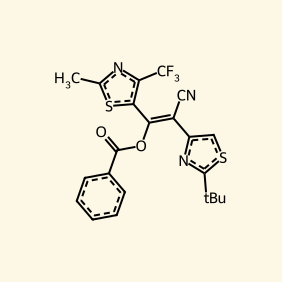 Cc1nc(C(F)(F)F)c(/C(OC(=O)c2ccccc2)=C(\C#N)c2csc(C(C)(C)C)n2)s1